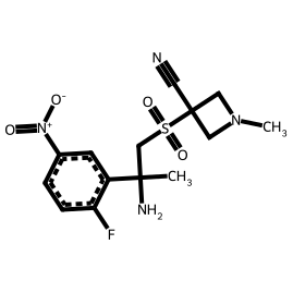 CN1CC(C#N)(S(=O)(=O)CC(C)(N)c2cc([N+](=O)[O-])ccc2F)C1